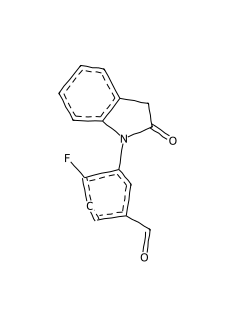 O=Cc1ccc(F)c(N2C(=O)Cc3ccccc32)c1